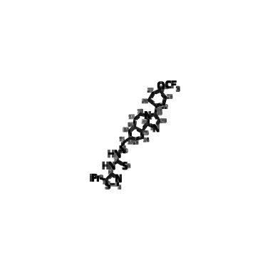 CC(C)c1scnc1NC(=S)N/N=C/c1ccc2c(ccn3c(-c4ccc(OC(F)(F)F)cc4)cnc23)c1